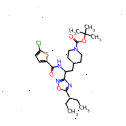 CCC(CC)c1nc(C(CC2CCN(C(=O)OC(C)(C)C)CC2)NC(=O)c2ccc(Cl)s2)no1